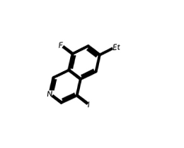 CCc1cc(F)c2cncc(I)c2c1